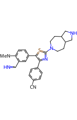 CNc1ccc(-c2sc(N3CCC4CNCC4CC3)nc2-c2ccc(C#N)cc2)cc1C=N